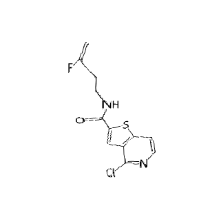 C=C(F)CCNC(=O)c1cc2c(Cl)nccc2s1